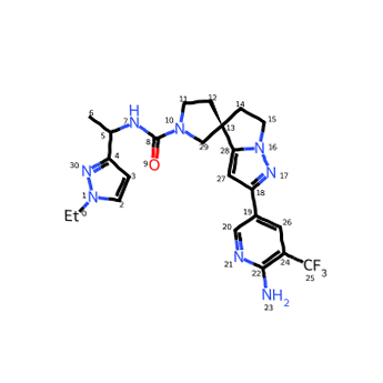 CCn1ccc(C(C)NC(=O)N2CC[C@]3(CCn4nc(-c5cnc(N)c(C(F)(F)F)c5)cc43)C2)n1